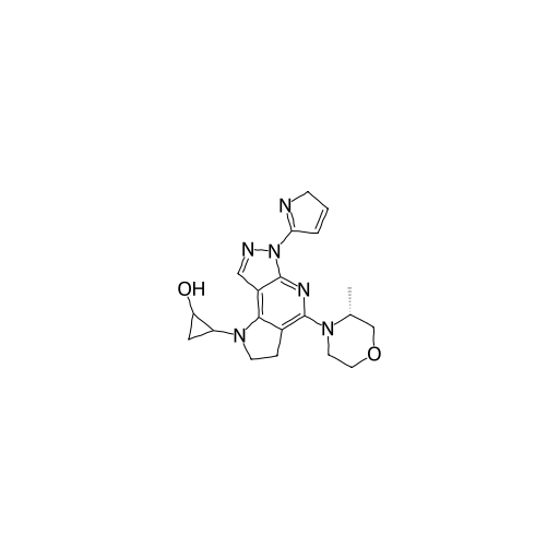 C[C@@H]1COCCN1c1nc2c(cnn2C2=NCC=C2)c2c1CCN2C1CC1O